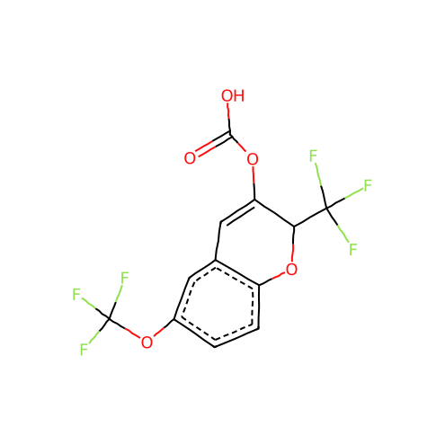 O=C(O)OC1=Cc2cc(OC(F)(F)F)ccc2OC1C(F)(F)F